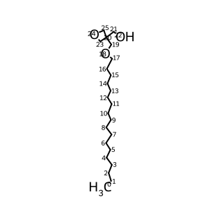 CCCCCCCCCCCCCCCCCCOCC1(CO)COC1